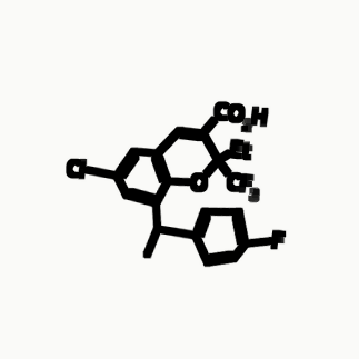 CCC1(C(F)(F)F)Oc2c(cc(Cl)cc2C(C)c2ccc(F)cc2)C=C1C(=O)O